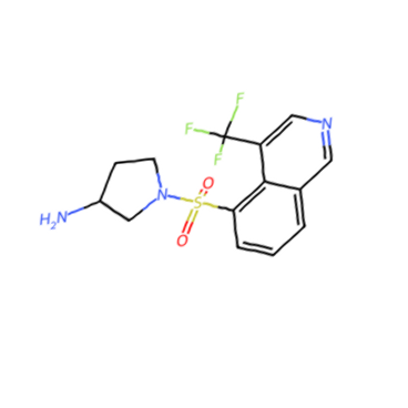 NC1CCN(S(=O)(=O)c2cccc3cncc(C(F)(F)F)c23)C1